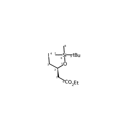 CCOC(=O)C[C@@H](CI)O[Si](C)(C)C(C)(C)C